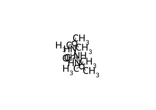 Cc1cc(C)c(NCCNCCNc2c(C)cc(C)cc2C)c(C)c1.[Cl-].[Cl-].[Ir+2]